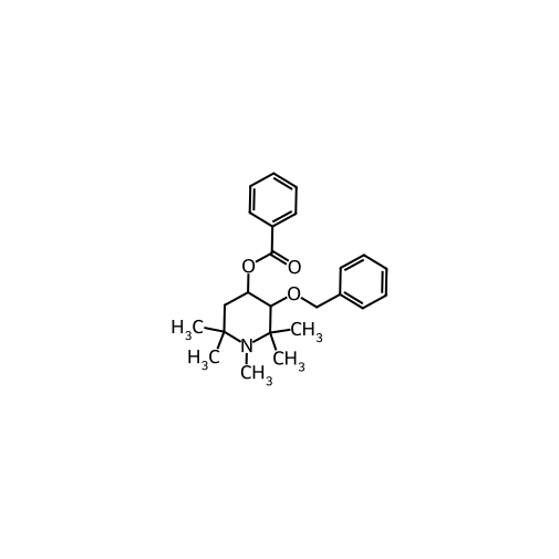 CN1C(C)(C)CC(OC(=O)c2ccccc2)C(OCc2ccccc2)C1(C)C